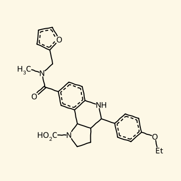 CCOc1ccc(C2Nc3ccc(C(=O)N(C)Cc4ccco4)cc3C3C2CCN3C(=O)O)cc1